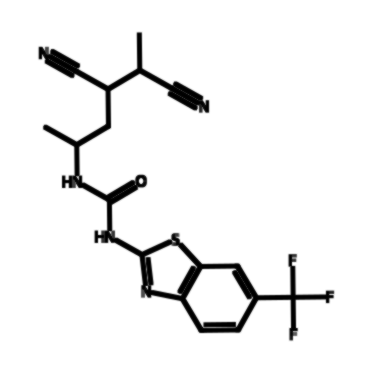 CC(CC(C#N)C(C)C#N)NC(=O)Nc1nc2ccc(C(F)(F)F)cc2s1